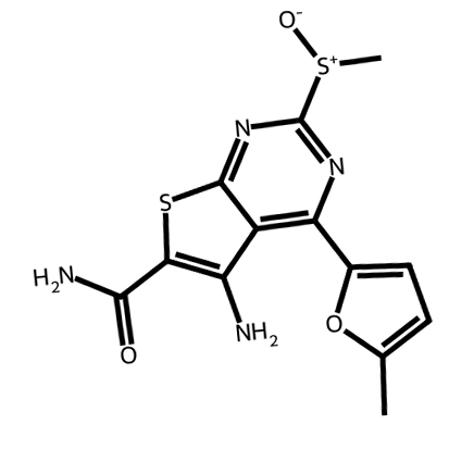 Cc1ccc(-c2nc([S+](C)[O-])nc3sc(C(N)=O)c(N)c23)o1